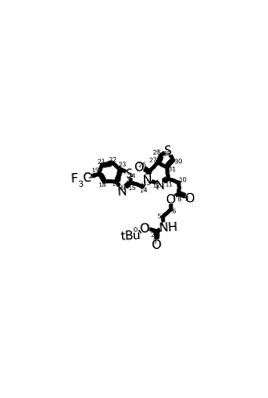 CC(C)(C)OC(=O)NCCOC(=O)Cc1nn(Cc2nc3cc(C(F)(F)F)ccc3s2)c(=O)c2cscc12